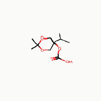 CC(C)C1(OC(=O)O)COC(C)(C)OC1